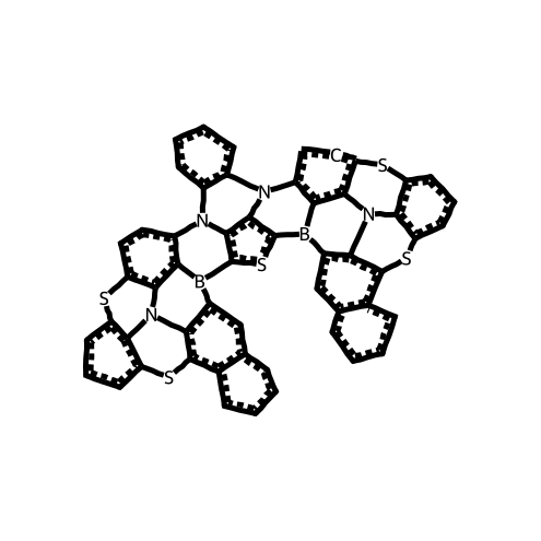 c1cc2c3c(c1)Sc1c4c(cc5ccccc15)B1c5sc6c7c5N(c5ccccc5N7c5ccc7c8c5B6c5cc6ccccc6c6c5N8c5c(cccc5S6)S7)c5ccc(c(c51)N34)S2